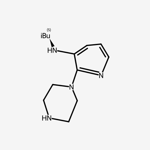 CC[C@H](C)Nc1cccnc1N1CCNCC1